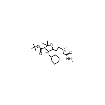 C[C@@H](CCC1OC(C)(C)N(C(=O)OC(C)(C)C)[C@H]1CC1CCCCC1)CC(N)=O